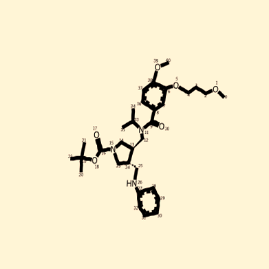 COCCCOc1cc(C(=O)N(C[C@@H]2CN(C(=O)OC(C)(C)C)C[C@H]2CNc2ccccc2)C(C)C)ccc1OC